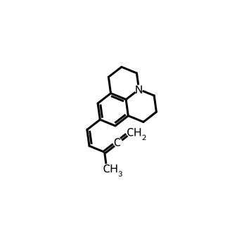 C=C=C(C)/C=C\c1cc2c3c(c1)CCCN3CCC2